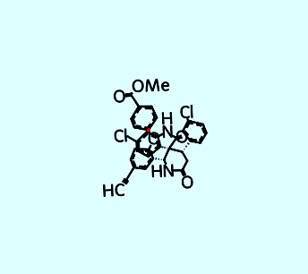 C#Cc1ccc(Oc2ccc(C(=O)OC)cc2)c([C@H]2NC(=O)C[C@@H](c3cccc(Cl)c3)[C@]23C(=O)Nc2cc(Cl)ccc23)c1